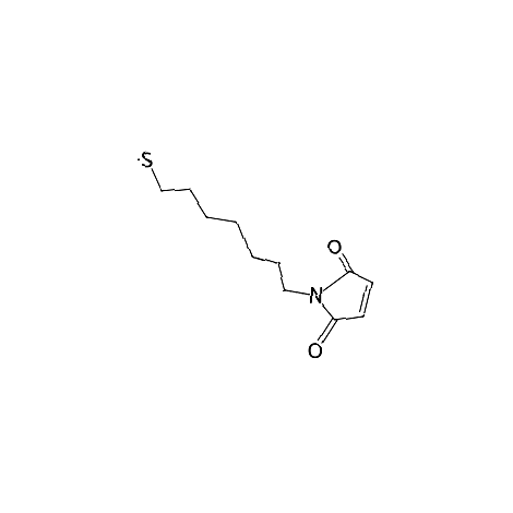 O=C1C=CC(=O)N1CCCCCCC[S]